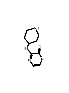 O=c1[nH]ccnc1NC1CCNCC1